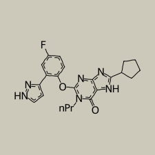 CCCn1c(Oc2ccc(F)cc2-c2cc[nH]n2)nc2nc(C3CCCC3)[nH]c2c1=O